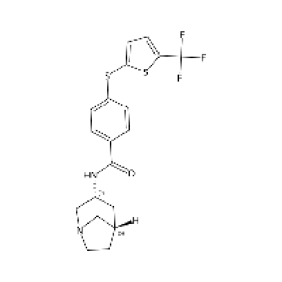 O=C(N[C@@H]1C[C@@H]2CCN(C2)C1)c1ccc(Sc2ccc(C(F)(F)F)s2)cc1